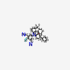 CC1(C)c2ccccc2-c2c(N(c3ccc(-c4ccccc4)cc3)c3cc(C#N)c(F)c(C#N)c3)cccc21